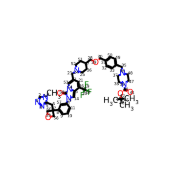 Cn1cnnc1CC1(c2cccc(-n3cc4c(C(F)(F)F)cc(CN5CCC(COCc6ccc(CN7CCN(C(=O)OC(C)(C)C)CC7)cc6)CC5)cn4c3=O)c2)COC1